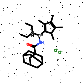 CC[SiH](CC)[Ti+2]([NH]C(=O)C12CC3CC(CC(C3)C1)C2)[C]1=C(C)C(C)=C(C)C1C.[Cl-].[Cl-]